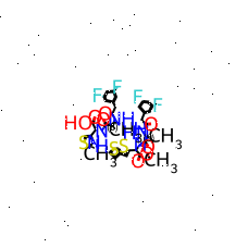 COC(=O)C(NC(=O)[C@H](C)NC(=O)Cc1cc(F)cc(F)c1)c1cc2ccsc2s1.Cc1nc(C(NC(=O)[C@H](C)NC(=O)Cc2cc(F)cc(F)c2)C(=O)O)cs1